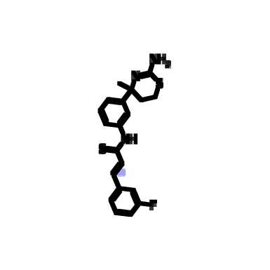 CC1(c2cccc(NC(=S)/C=C/c3cccc(F)c3)c2)CCSC(N)=N1